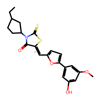 CCC1CCC(N2C(=O)/C(=C/c3ccc(-c4cc(O)cc(OC)c4)o3)SC2=S)C1